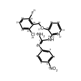 NC(=Nc1ccc([N+](=O)[O-])cc1)Nc1ncccc1OCc1c(F)cccc1Cl